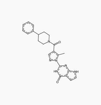 Cc1c(C(=O)N2CCC(c3ccccc3)CC2)cnn1-c1nc2[nH]ccc2c(=O)[nH]1